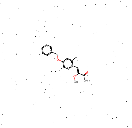 CCCCOC(=Cc1ccc(OCc2ccccc2)cc1C)C(=O)OC